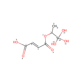 CC(OC(=O)/C=C/C(=O)O)[Si](O)(O)O